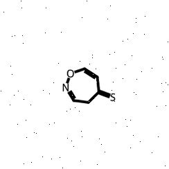 S=C1C=CON=CC1